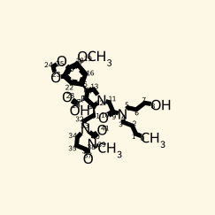 CCCCN(CCCO)C(=O)CN1C[C@H](c2cc(OC)c3c(c2)OCO3)[C@@H](C(=O)O)[C@@H]1CCN1CCC(=O)N(C)C1=O